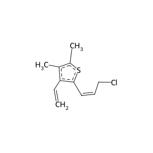 C=Cc1c(/C=C\CCl)sc(C)c1C